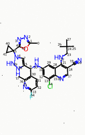 Cc1nnc(C2(N3C=C([C@@H](Nc4cc(Cl)c5ncc(C#N)c(NCC(C)(C)C)c5c4)c4ccc(F)nc4C)NN3)CC2)o1